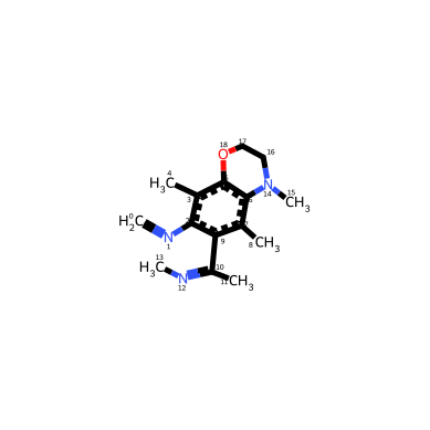 C=Nc1c(C)c2c(c(C)c1/C(C)=N\C)N(C)CCO2